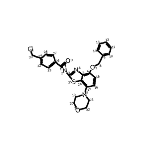 O=C(Nc1nc2c(OCc3ccccc3)ccc(N3CCOCC3)c2s1)c1ccc(CCl)cc1